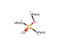 CCCCCOP(=O)(CCCCC)CCCCC